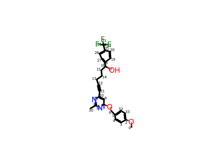 COc1ccc(COc2cc(C#CCCCC(O)c3ccc(C(F)(F)F)cc3)nc(C)n2)cc1